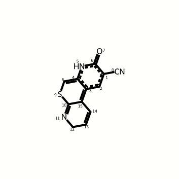 N#Cc1cc2c([nH]c1=O)=CSC1=NCC=CC=21